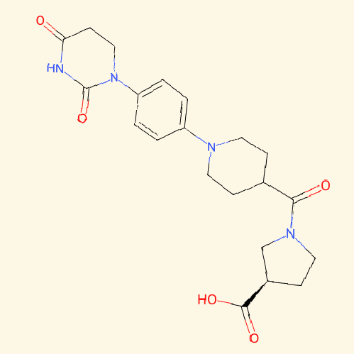 O=C1CCN(c2ccc(N3CCC(C(=O)N4CC[C@@H](C(=O)O)C4)CC3)cc2)C(=O)N1